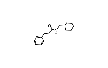 O=C(CCc1ccccc1)NCC1CCCCC1